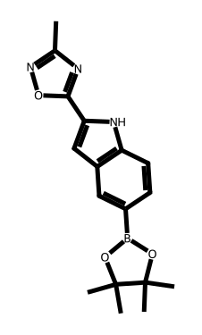 Cc1noc(-c2cc3cc(B4OC(C)(C)C(C)(C)O4)ccc3[nH]2)n1